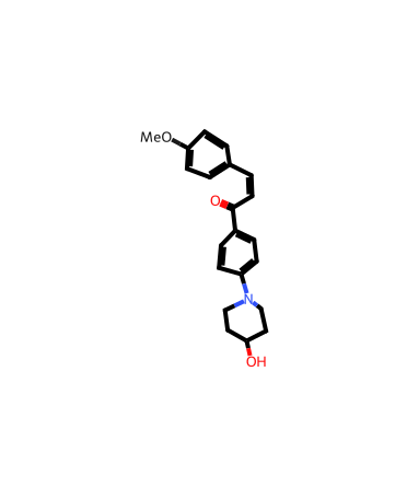 COc1ccc(/C=C\C(=O)c2ccc(N3CCC(O)CC3)cc2)cc1